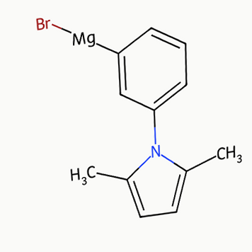 Cc1ccc(C)n1-c1ccc[c]([Mg][Br])c1